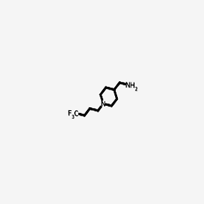 NCC1CCN(CCCC(F)(F)F)CC1